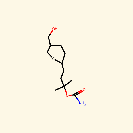 CC(C)(CCC1CCC(CO)CC1)OC(N)=O